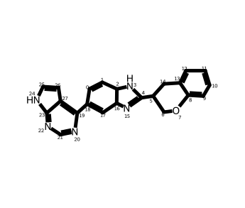 C1=CC2NC(C3COc4ccccc4C3)=NC2C=C1c1ncnc2[nH]ccc12